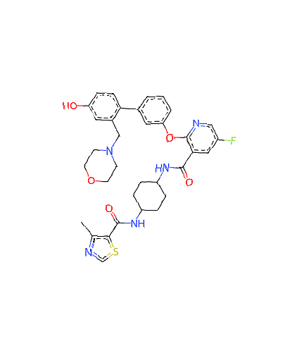 Cc1ncsc1C(=O)NC1CCC(NC(=O)c2cc(F)cnc2Oc2cccc(-c3ccc(O)cc3CN3CCOCC3)c2)CC1